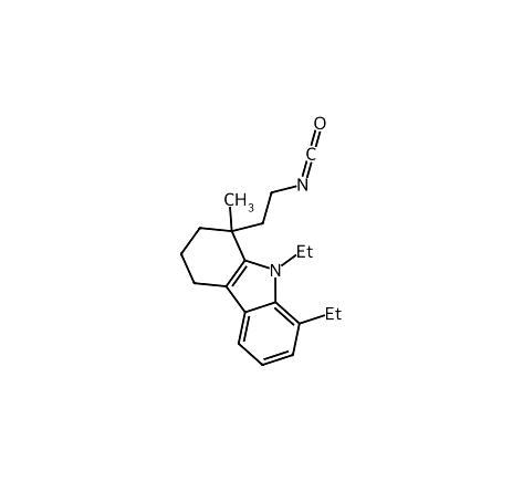 CCc1cccc2c3c(n(CC)c12)C(C)(CCN=C=O)CCC3